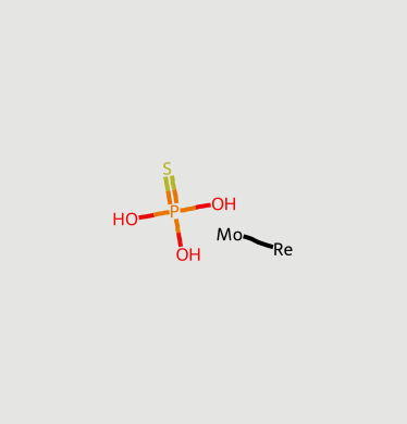 OP(O)(O)=S.[Mo][Re]